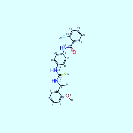 COc1ccccc1C(C)NC(=S)Nc1ccc(NC(=O)c2ccccc2F)cc1